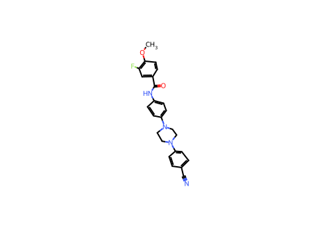 COc1ccc(C(=O)Nc2ccc(N3CCN(c4ccc(C#N)cc4)CC3)cc2)cc1F